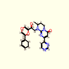 CC1CCn2c(nc(-c3ccncn3)cc2=O)N1CC(=O)C1=COC=C(C2=CC=CCC2)O1